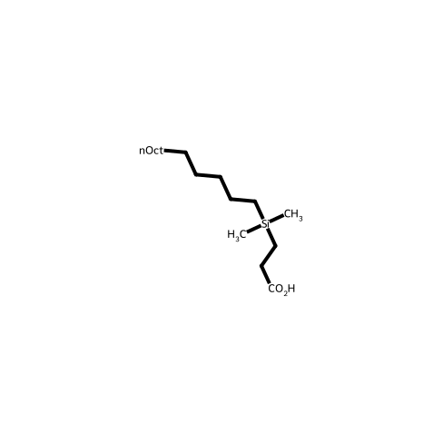 CCCCCCCCCCCCC[Si](C)(C)CCC(=O)O